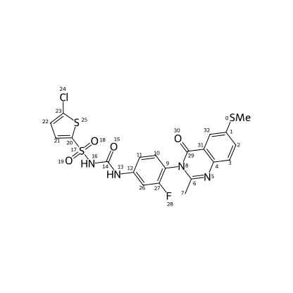 CSc1ccc2nc(C)n(-c3ccc(NC(=O)NS(=O)(=O)c4ccc(Cl)s4)cc3F)c(=O)c2c1